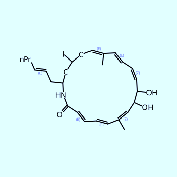 CCC/C=C/CC1CC(I)C/C=C(C)/C=C/C=C\C(O)C(O)\C=C(C)/C=C/C=C/C(=O)N1